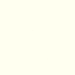 CCCC(C)(CC)c1ccc2c(c1)OCO2